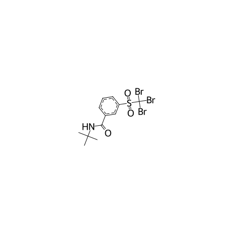 CC(C)(C)NC(=O)c1cccc(S(=O)(=O)C(Br)(Br)Br)c1